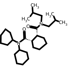 CC(C)CN(CC(C)C)C(=O)[C@@H]1CCCC[C@@H]1C(=O)N(C1CCCCC1)C1CCCCC1